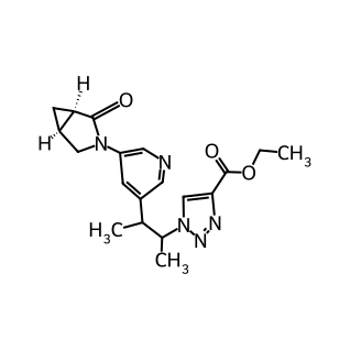 CCOC(=O)c1cn(C(C)C(C)c2cncc(N3C[C@H]4C[C@H]4C3=O)c2)nn1